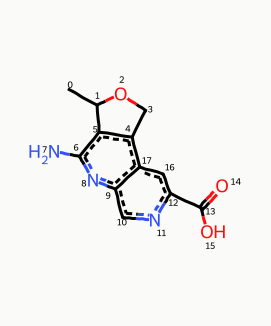 CC1OCc2c1c(N)nc1cnc(C(=O)O)cc21